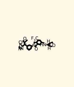 Cn1cnnc1C(c1cccc(N2Cc3c(cc(CN[C@@H]4[C@@H]5COC[C@@H]54)cc3C(F)(F)F)C2=O)c1)C1COC1